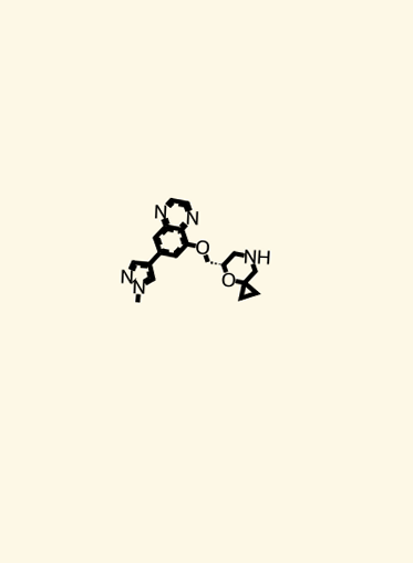 Cn1cc(-c2cc(OC[C@@H]3CNCC4(CC4)O3)c3nccnc3c2)cn1